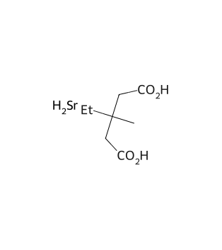 CCC(C)(CC(=O)O)CC(=O)O.[SrH2]